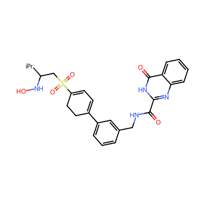 CC(C)C(CS(=O)(=O)C1=CC=C(c2cccc(CNC(=O)c3nc4ccccc4c(=O)[nH]3)c2)CC1)NO